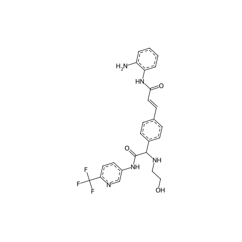 Nc1ccccc1NC(=O)/C=C/c1ccc(C(NCCO)C(=O)Nc2ccc(C(F)(F)F)nc2)cc1